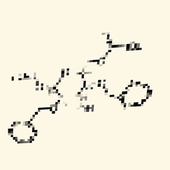 CCCCCCCCO[C@@H]1O[C@H](COC(=O)C(C)(C)C)[C@H](OCc2ccccc2)[C@H](O)[C@H]1OCc1ccccc1